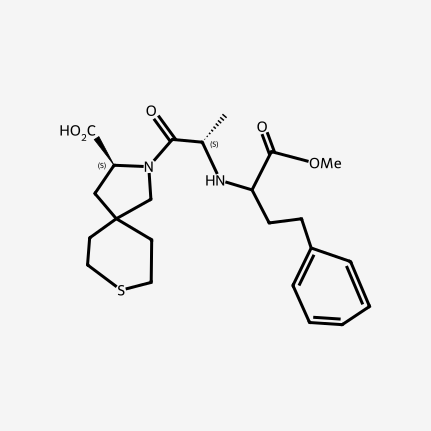 COC(=O)C(CCc1ccccc1)N[C@@H](C)C(=O)N1CC2(CCSCC2)C[C@H]1C(=O)O